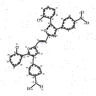 CCN(CC)c1ccc(-c2nc(/C=C/c3nc(-c4ccc(N(CC)CC)cc4)c(-c4ccccc4Cl)o3)oc2-c2ccccc2Cl)cc1